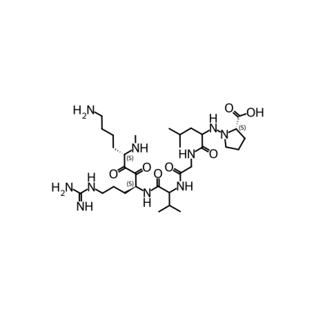 CN[C@@H](CCCCN)C(=O)C(=O)[C@H](CCCNC(=N)N)NC(=O)C(NC(=O)CNC(=O)C(CC(C)C)NN1CCC[C@H]1C(=O)O)C(C)C